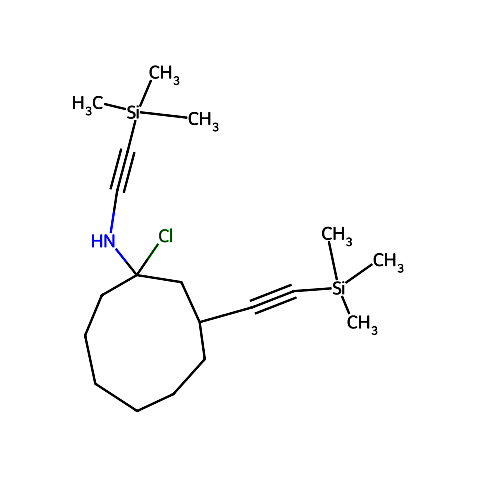 C[Si](C)(C)C#CNC1(Cl)CCCCCCC(C#C[Si](C)(C)C)C1